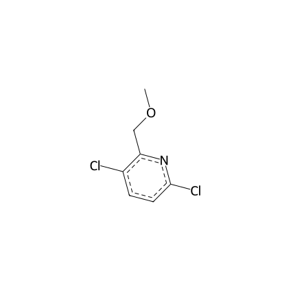 COCc1nc(Cl)ccc1Cl